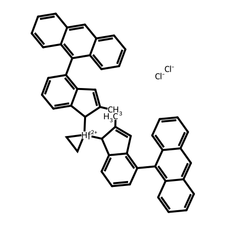 CC1=Cc2c(-c3c4ccccc4cc4ccccc34)cccc2[CH]1[Hf+2]1([CH]2C(C)=Cc3c(-c4c5ccccc5cc5ccccc45)cccc32)[CH2][CH2]1.[Cl-].[Cl-]